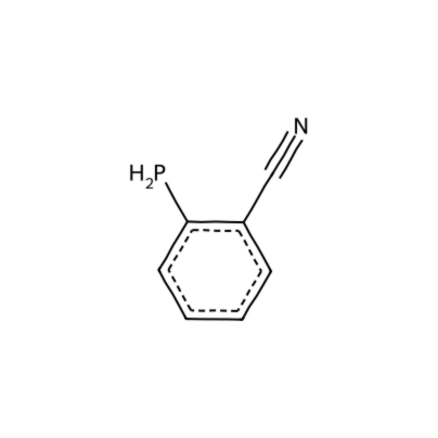 N#Cc1ccccc1P